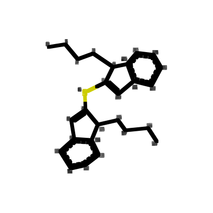 CCCCC1C(SC2=Cc3ccccc3C2CCCC)=Cc2ccccc21